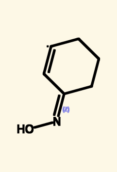 O/N=C1\C=[C]CCC1